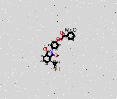 COc1ccccc1C(=O)COc1ccc(N2C(=O)C3CC=CC([C@H]4C[C@H]4S)C3C2=O)cc1